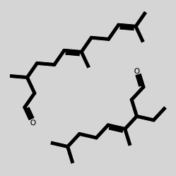 CC(C)=CCC/C(C)=C/CCC(C)CC=O.CCC(CC=O)/C(C)=C/CCC(C)C